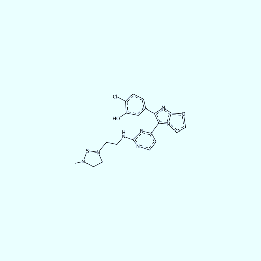 CN1CCN(CCNc2nccc(-c3c(-c4ccc(Cl)c(O)c4)nc4occn34)n2)S1